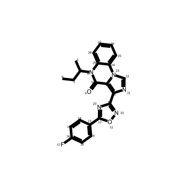 CCC(C)n1c(=O)c2c(-c3noc(-c4ccc(F)cc4)n3)ncn2c2ccccc21